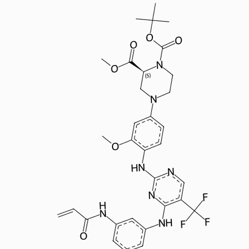 C=CC(=O)Nc1cccc(Nc2nc(Nc3ccc(N4CCN(C(=O)OC(C)(C)C)[C@H](C(=O)OC)C4)cc3OC)ncc2C(F)(F)F)c1